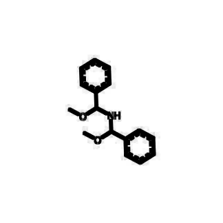 COC(NC(OC)c1ccccc1)c1ccccc1